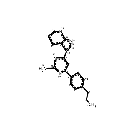 CCCc1ccc(-c2cc(-c3c[nH]c4ncccc34)nc(N)n2)cc1